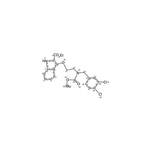 CCOC(=O)c1[nH]c2ccccc2c1OCCN(Cc1ccc(Cl)c(Cl)c1)C(=O)OC(C)(C)C